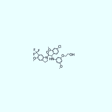 COc1cc(NC(C(=O)N2CCc3cc(OC)c(C(F)(F)F)cc32)c2ccc(Cl)cc2OC)cc(OCCO)c1